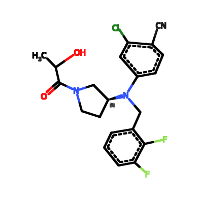 CC(O)C(=O)N1CC[C@H](N(Cc2cccc(F)c2F)c2ccc(C#N)c(Cl)c2)C1